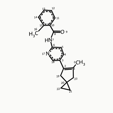 CC1=C(c2ccc(NC(=O)c3ccccc3C)nc2)CC2(CC2)C1